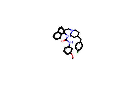 COc1cccc(NC(=O)Nc2c(CN3CCC(Cc4ccc(F)cc4)CC3)ccc3ccccc23)c1